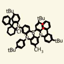 Cc1cc2c3c(c1)N(c1ccc(C(C)(C)C)cc1-c1ccccc1)c1ccc(C(C)(C)C)cc1B3c1ccc(N3c4ccc(C(C)(C)C)cc4C4(c5ccccc5)CCCCC34C)cc1N2c1ccc(C(C)(C)C)cc1